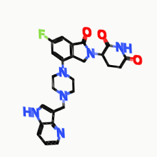 O=C1CCC(N2Cc3c(cc(F)cc3N3CCN(Cc4c[nH]c5cccnc45)CC3)C2=O)C(=O)N1